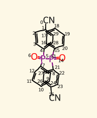 N#Cc1ccc(P(=O)(c2ccccc2)P(=O)(c2ccccc2)c2ccc(C#N)cc2)cc1